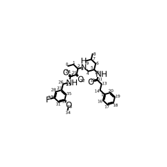 CCC(NCC(CC(C)C)NC(=O)CCc1ccccc1)C(=O)C(=O)NCc1cc(F)cc(OC)c1